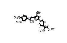 COc1ccc(/C(C#N)=C/c2ccc(N3CCC(C(CC(=O)[O-])C(=O)[O-])CC3)o2)cc1OC.[Na+].[Na+]